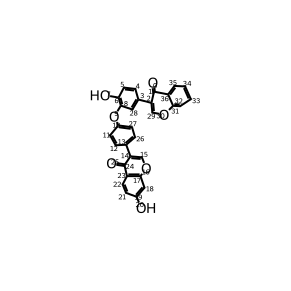 O=c1c(-c2ccc(O)c(Oc3ccc(-c4coc5cc(O)ccc5c4=O)cc3)c2)coc2ccccc12